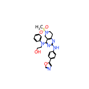 CS(=O)(=O)N1CCc2nc(Nc3ccc(-c4cnco4)cc3)nc(N(CCO)c3ccccc3)c2C1